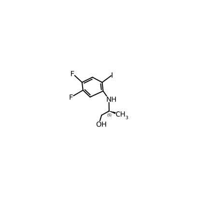 C[C@@H](CO)Nc1cc(F)c(F)cc1I